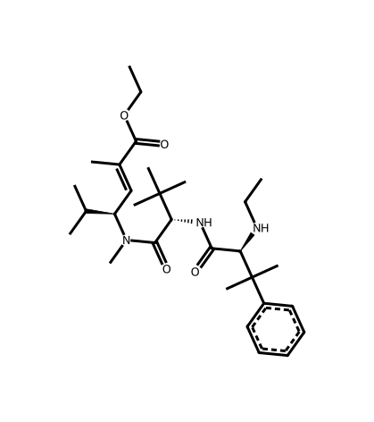 CCN[C@H](C(=O)N[C@H](C(=O)N(C)[C@H](/C=C(\C)C(=O)OCC)C(C)C)C(C)(C)C)C(C)(C)c1ccccc1